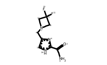 NC(=O)c1nc(CN2CC(F)(F)C2)c[nH]1